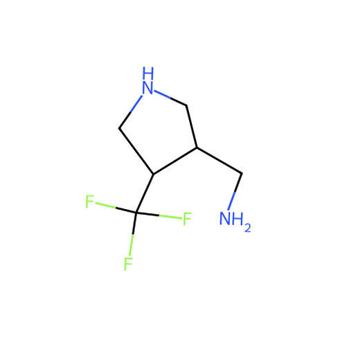 NCC1CNCC1C(F)(F)F